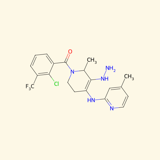 Cc1ccnc(NC2=C(NN)C(C)N(C(=O)c3cccc(C(F)(F)F)c3Cl)CC2)c1